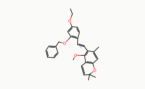 CCOc1ccc(/C=C/c2c(C)cc3c(c2OC)C=CC(C)(C)O3)c(OCc2ccccc2)c1